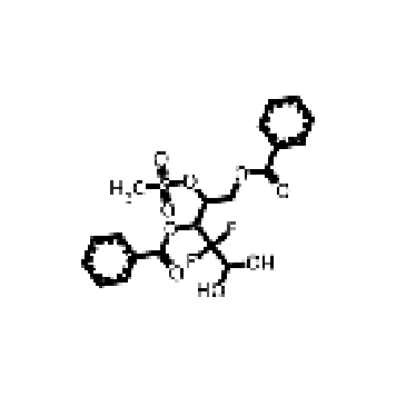 CS(=O)(=O)OC(COC(=O)c1ccccc1)C(OC(=O)c1ccccc1)C(F)(F)C(O)O